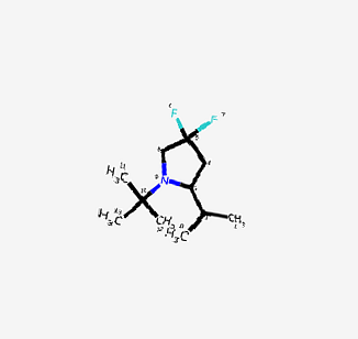 CC(C)C1CC(F)(F)CN1C(C)(C)C